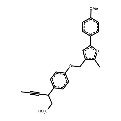 CC#CC(CC(=O)O)c1ccc(OCc2nc(-c3ccc(OC)cc3)oc2C)cc1